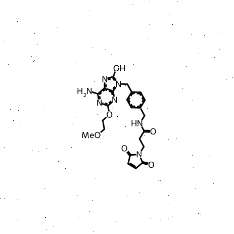 COCCOc1nc(N)c2nc(O)n(Cc3ccc(CNC(=O)CCN4C(=O)C=CC4=O)cc3)c2n1